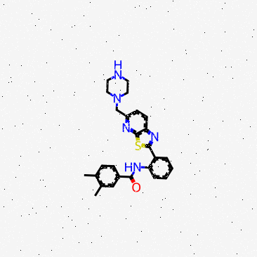 Cc1ccc(C(=O)Nc2ccccc2-c2nc3ccc(CN4CCNCC4)nc3s2)cc1C